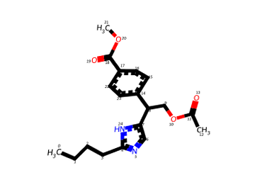 CCCCc1ncc(C(COC(C)=O)c2ccc(C(=O)OC)cc2)[nH]1